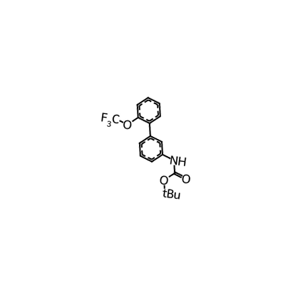 CC(C)(C)OC(=O)Nc1cccc(-c2ccccc2OC(F)(F)F)c1